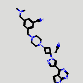 CN(C)Cc1cc(C#N)cc(CN2CCN([C@H]3C[C@@](CC#N)(n4cc(-c5ncnc6[nH]ccc56)cn4)C3)CC2)c1